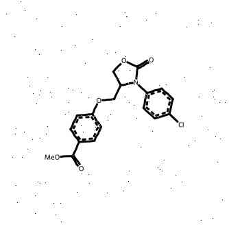 COC(=O)c1ccc(OCC2COC(=O)N2c2ccc(Cl)cc2)cc1